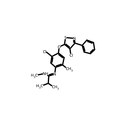 CNC(=Nc1cc(Cl)c(Oc2snc(-c3ccccc3)c2Cl)cc1C)C(C)C